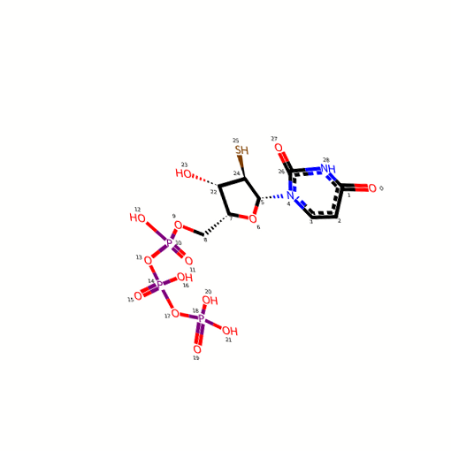 O=c1ccn([C@@H]2O[C@H](COP(=O)(O)OP(=O)(O)OP(=O)(O)O)[C@H](O)[C@H]2S)c(=O)[nH]1